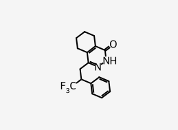 O=c1[nH]nc(CC(c2ccccc2)C(F)(F)F)c2c1CCCC2